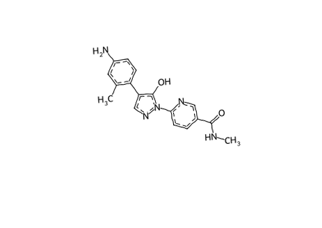 CNC(=O)c1ccc(-n2ncc(-c3ccc(N)cc3C)c2O)nc1